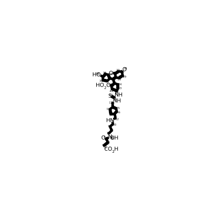 O=C(O)/C=C/C(=O)N(O)CCCCNCc1ccc(CNC(=S)Nc2ccc(-c3c4ccc(=O)cc-4oc4cc(O)ccc34)c(C(=O)O)c2)cc1